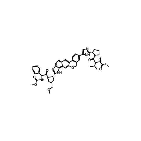 COC[C@H]1C[C@@H](c2nc3ccc4cc5c(cc4c3[nH]2)OCc2cc(-c3cnc([C@@H]4CCCN4C(=O)[C@@H](NC(=O)OC)C(C)C)[nH]3)ccc2-5)N(C(=O)[C@H](NC(=O)OC)c2ccccc2)C1